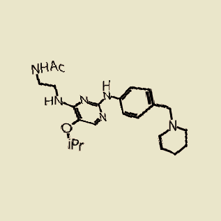 CC(=O)NCCNc1nc(Nc2ccc(CN3CCCCC3)cc2)ncc1OC(C)C